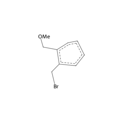 COCc1ccccc1CBr